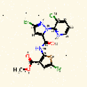 COC(=O)c1cc(Br)sc1NC(=O)c1cc(Br)nn1-c1ncccc1Cl